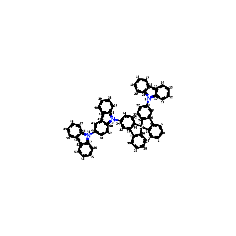 c1ccc2c(c1)-c1cc(-n3c4ccccc4c4ccccc43)ccc1[Si]21c2ccccc2-c2cc(-n3c4ccccc4c4cc(-n5c6ccccc6c6ccccc65)ccc43)ccc21